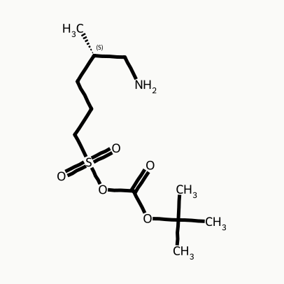 C[C@H](CN)CCCS(=O)(=O)OC(=O)OC(C)(C)C